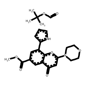 CC(C)(C)OC=O.COC(=O)c1cc(-c2ccc[nH]2)c2oc(N3CCOCC3)cc(=O)c2c1